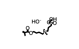 C=C(C)C(=O)OCCCC[N+](C)(C)CCCS(=O)(=O)O.[OH-]